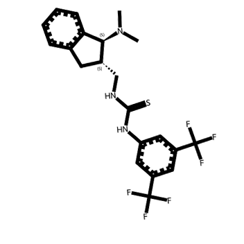 CN(C)[C@@H]1c2ccccc2C[C@H]1CNC(=S)Nc1cc(C(F)(F)F)cc(C(F)(F)F)c1